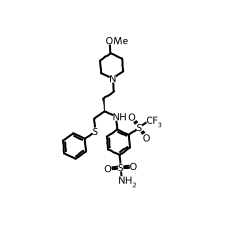 COC1CCN(CC[C@H](CSc2ccccc2)Nc2ccc(S(N)(=O)=O)cc2S(=O)(=O)C(F)(F)F)CC1